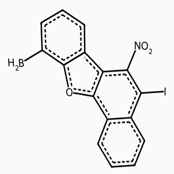 Bc1cccc2c1oc1c3ccccc3c(I)c([N+](=O)[O-])c21